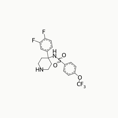 O=S(=O)(NC1(c2ccc(F)c(F)c2)CCNCC1)c1ccc(OC(F)(F)F)cc1